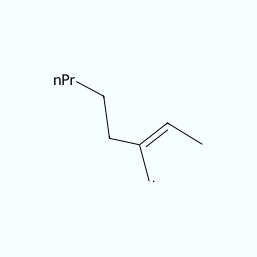 [CH2]C(=CC)CCCCC